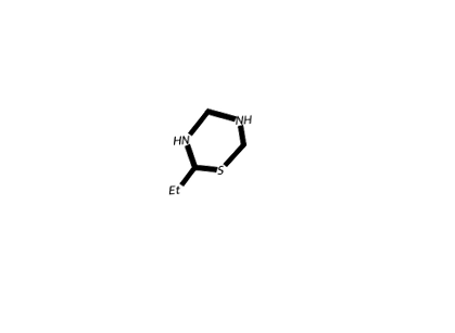 CCC1NCNCS1